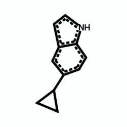 c1cc2cc(C3CC3)ccc2[nH]1